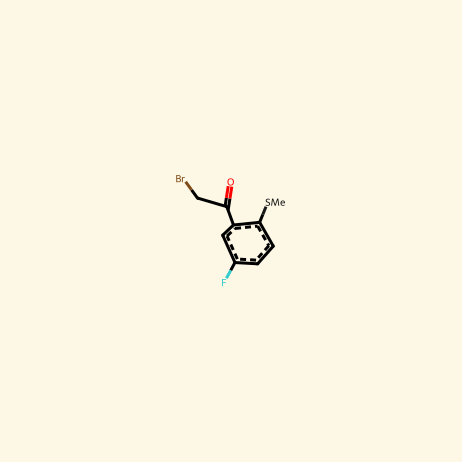 CSc1ccc(F)cc1C(=O)CBr